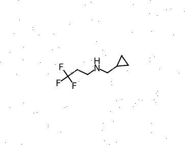 FC(F)(F)CCNCC1CC1